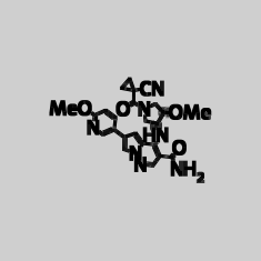 COc1ccc(-c2cc3c(N[C@@H]4CN(C(=O)C5(C#N)CC5)C[C@H]4OC)c(C(N)=O)cnn3c2)cn1